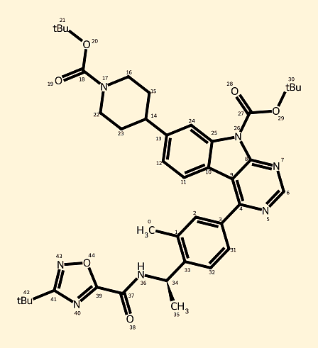 Cc1cc(-c2ncnc3c2c2ccc(C4CCN(C(=O)OC(C)(C)C)CC4)cc2n3C(=O)OC(C)(C)C)ccc1[C@@H](C)NC(=O)c1nc(C(C)(C)C)no1